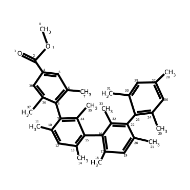 COC(=O)c1cc(C)c(-c2c(C)cc(C)c(-c3c(C)cc(C)c(-c4c(C)cc(C)cc4C)c3C)c2C)c(C)c1